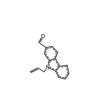 C=CCn1c2ccccc2c2ccc(C=O)cc21